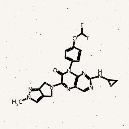 Cn1cc2c(n1)CN(c1nc3cnc(NC4CC4)nc3n(-c3ccc(OC(F)F)cc3)c1=O)C2